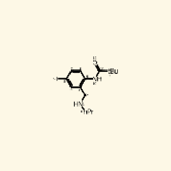 CCCNCc1cc(I)ccc1NC(=O)C(C)(C)C